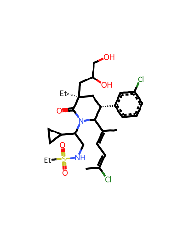 CC[C@]1(CC(O)CO)C[C@H](c2cccc(Cl)c2)C(/C(C)=C/C=C(\C)Cl)N(C(CNS(=O)(=O)CC)C2CC2)C1=O